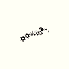 NC(=O)c1cn(C[C@@H](O)CCCOc2ccc(-c3ccccc3)cc2)cn1